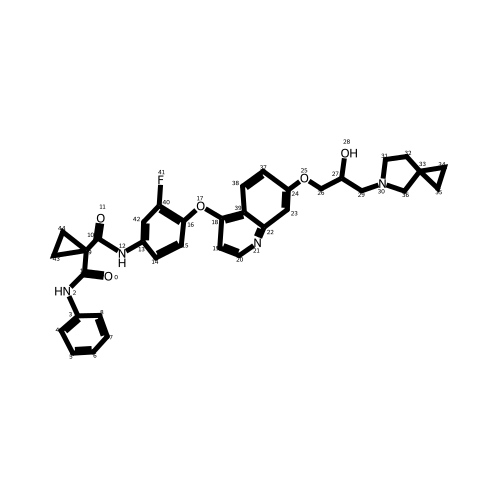 O=C(Nc1ccccc1)C1(C(=O)Nc2ccc(Oc3ccnc4cc(OCC(O)CN5CCC6(CC6)C5)ccc34)c(F)c2)CC1